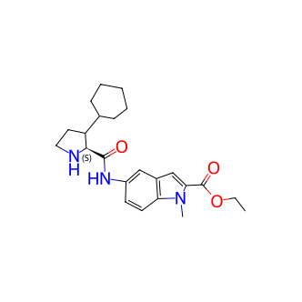 CCOC(=O)c1cc2cc(NC(=O)[C@H]3NCCC3C3CCCCC3)ccc2n1C